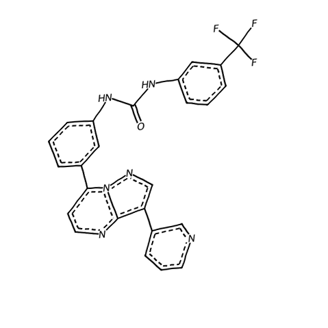 O=C(Nc1cccc(-c2ccnc3c(-c4cccnc4)cnn23)c1)Nc1cccc(C(F)(F)F)c1